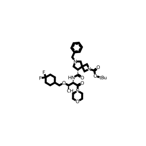 C[C@@H](OCC1CCC(F)(F)CC1)[C@H](NC(=O)[C@@H]1CN(Cc2ccccc2)CC12CN(C(=O)OC(C)(C)C)C2)C(=O)N1CCOCC1